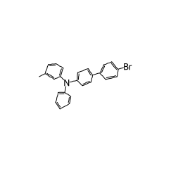 Cc1cccc(N(c2ccccc2)c2ccc(-c3ccc(Br)cc3)cc2)c1